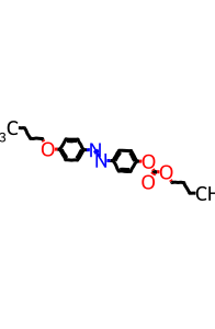 CCCCOC(=O)Oc1ccc(/N=N/c2ccc(OCCCC)cc2)cc1